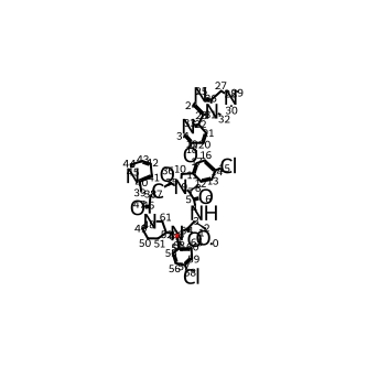 COC[C@@H]1NC(=O)[C@H](C)N(Cc2ccc(Cl)cc2Oc2ccc(-c3cnc(CN(C)C)n3C)nc2)C(=O)C[C@@H](Cc2ccccn2)C(=O)N2CCC[C@@](Cc3ccc(Cl)cc3)(C2)N(C)C1=O